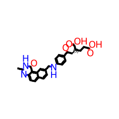 Cc1nc2ccc3ccc(CNc4ccc(C(=O)C[C@H](CCC(=O)O)C(=O)O)cc4)cc3c2c(=O)[nH]1